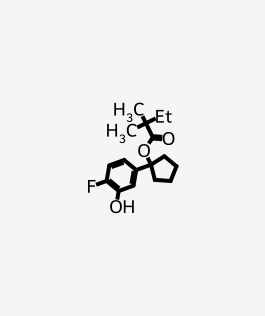 CCC(C)(C)C(=O)OC1(c2ccc(F)c(O)c2)CCCC1